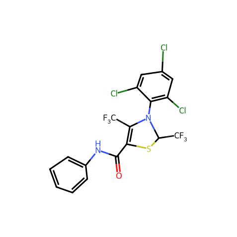 O=C(Nc1ccccc1)C1=C(C(F)(F)F)N(c2c(Cl)cc(Cl)cc2Cl)C(C(F)(F)F)S1